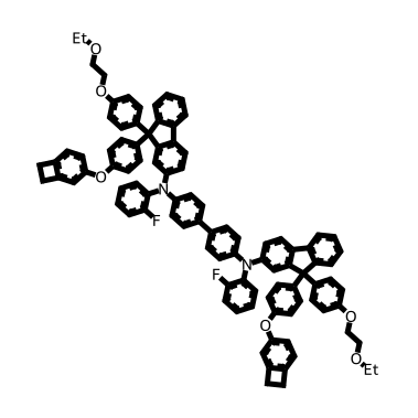 CCOCCOc1ccc(C2(c3ccc(Oc4ccc5c(c4)CC5)cc3)c3ccccc3-c3ccc(N(c4ccc(-c5ccc(N(c6ccc7c(c6)C(c6ccc(OCCOCC)cc6)(c6ccc(Oc8ccc9c(c8)CC9)cc6)c6ccccc6-7)c6ccccc6F)cc5)cc4)c4ccccc4F)cc32)cc1